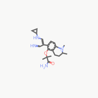 CC1CCc2c(ccc(/C(C=N)=C/NC3CC3)c2OC(C)(C)C(N)=O)N1C